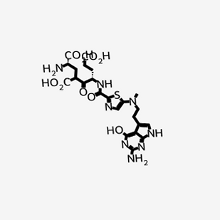 CN(CCc1c[nH]c2nc(N)nc(O)c12)c1cnc(C(=O)N[C@@H](CCC(=O)O)C(=O)C(C[C@H](N)C(=O)O)C(=O)O)s1